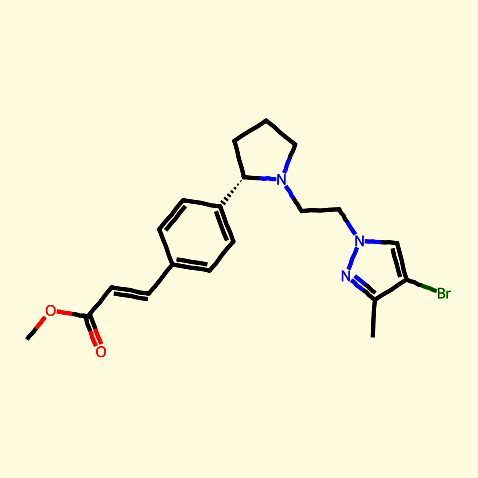 COC(=O)C=Cc1ccc([C@@H]2CCCN2CCn2cc(Br)c(C)n2)cc1